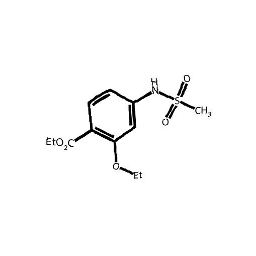 CCOC(=O)c1ccc(NS(C)(=O)=O)cc1OCC